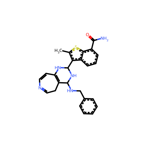 Cc1sc2c(C(N)=O)cccc2c1C1NC2=C(CC=NC=C2)C(NCc2ccccc2)N1